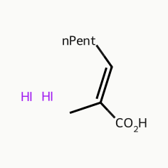 CCCCCC=C(C)C(=O)O.I.I